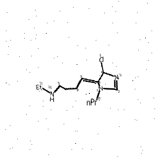 CCCN1C=NC(Cl)C1=CCCNCC